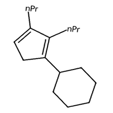 CCCC1=CCC(C2CCCCC2)=C1CCC